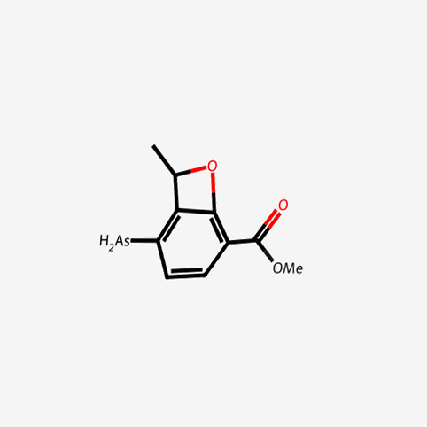 COC(=O)c1ccc([AsH2])c2c1OC2C